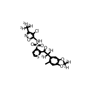 [2H]C1([2H])Oc2cc(C)c(C([2H])([2H])C(=O)c3sccc3S(=O)(=O)Nc3onc(C([2H])([2H])[2H])c3Cl)cc2O1